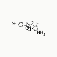 N#Cc1ccc(-c2nc(C3(c4c(F)cc(N)cc4Cl)CC3)no2)cc1